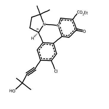 CCOC(=O)c1cn2c(cc1=O)-c1cc(Cl)c(C#CC(C)(C)O)cc1[C@H]1CCC(C)(C)N12